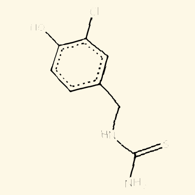 NC(=S)NCc1ccc(O)c(Cl)c1